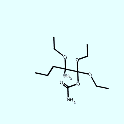 CCCC([SiH3])(OCC)C(OCC)(OCC)OC(N)=O